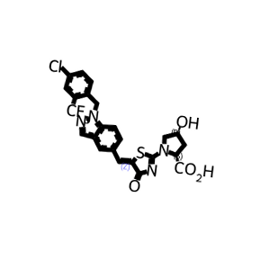 O=C1N=C(N2C[C@H](O)C[C@H]2C(=O)O)S/C1=C\c1ccc2c(cnn2Cc2ccc(Cl)cc2C(F)(F)F)c1